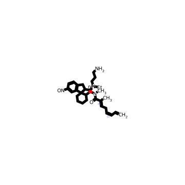 C=C/C=C\C/C=C(\C)C(=O)N(C)C(CCC)C1CCCCC12c1cc(N=O)ccc1CC2CN(CC)CCCN